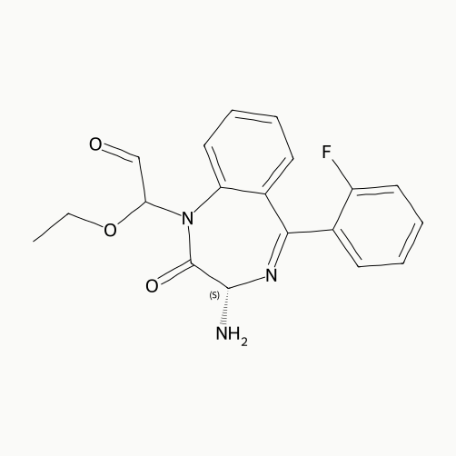 CCOC(C=O)N1C(=O)[C@@H](N)N=C(c2ccccc2F)c2ccccc21